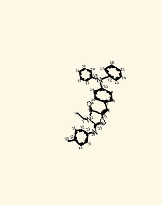 CCN1C(=O)/C(=C\c2ccc(N(c3ccccc3)c3ccccc3)cc2)O/C1=N/c1ccc(C)cc1